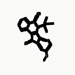 COc1cnc2c(c1)C(=O)c1c-2n(C(C)(C)C)c(=O)c2ccccc12